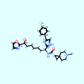 CN1CCC2(CC1)C[C@@H]2C(=O)N[C@@H](CCCCCC(=O)c1ncco1)c1nc(-c2ccc(F)cc2)c[nH]1